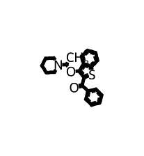 CC(Oc1c(C(=O)c2ccccc2)sc2ccccc12)N1CCCCC1